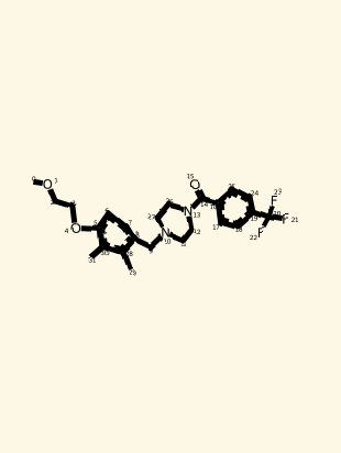 COCCOc1ccc(CN2CCN(C(=O)c3ccc(C(F)(F)F)cc3)CC2)c(C)c1C